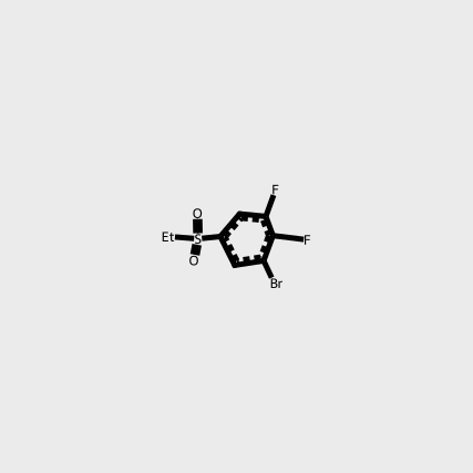 CCS(=O)(=O)c1cc(F)c(F)c(Br)c1